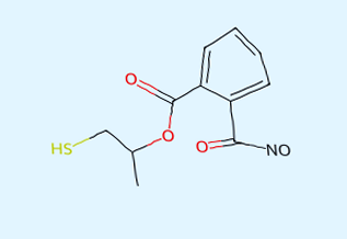 CC(CS)OC(=O)c1ccccc1C(=O)N=O